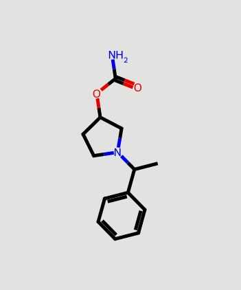 CC(c1ccccc1)N1CCC(OC(N)=O)C1